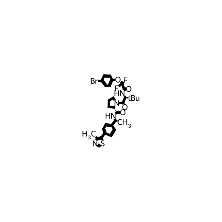 Cc1ncsc1-c1ccc([C@H](C)NC(=O)[C@@H]2CCCN2C(=O)[C@@H](NC(=O)C(F)(F)Oc2ccc(Br)cc2)C(C)(C)C)cc1